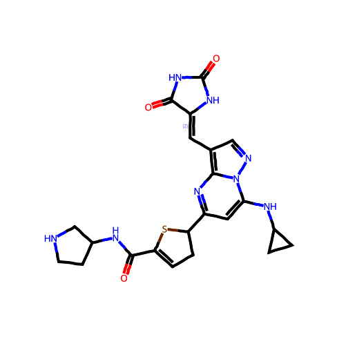 O=C1NC(=O)/C(=C/c2cnn3c(NC4CC4)cc(C4CC=C(C(=O)NC5CCNC5)S4)nc23)N1